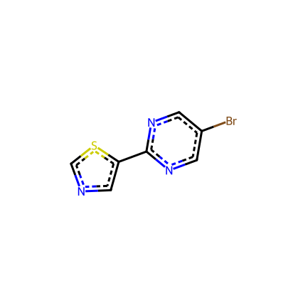 Brc1cnc(-c2cncs2)nc1